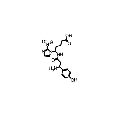 NC(CC(=O)NC(CCCC(=O)O)n1ccnc1[N+](=O)[O-])c1ccc(O)cc1